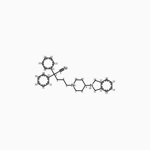 N#CC(CCCN1CCC(N2Cc3ccccc3C2)CC1)(c1ccccc1)c1ccccc1